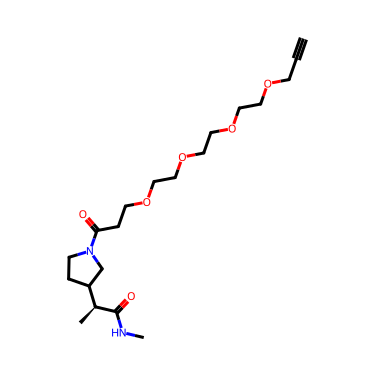 C#CCOCCOCCOCCOCCC(=O)N1CCC([C@H](C)C(=O)NC)C1